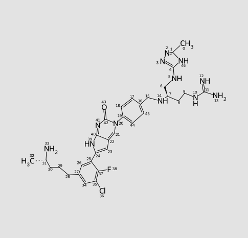 Cc1nnc(NC[C@@H](CCNC(=N)N)NCc2ccc(-n3cc4cc(-c5cc(CCC[C@H](C)N)cc(Cl)c5F)[nH]c4nc3=O)cc2)[nH]1